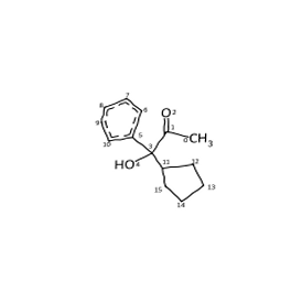 CC(=O)C(O)(c1ccccc1)C1CCCC1